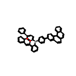 c1ccc(-c2ccc(N(c3ccc(-c4ccc5c(ccc6ccc7ccccc7c65)c4)cc3)c3ccccc3-c3ccc4ccccc4c3)cc2)cc1